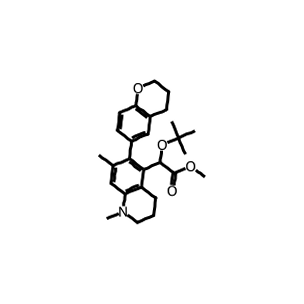 COC(=O)C(OC(C)(C)C)c1c2c(cc(C)c1-c1ccc3c(c1)CCCO3)N(C)CCC2